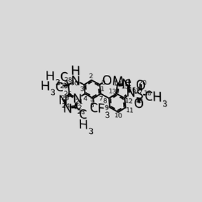 COc1cc2c(c(C(F)(F)F)c1-c1cccc3c1cnn3S(C)(=O)=O)-n1c(C)nnc1C(C)(C)N2